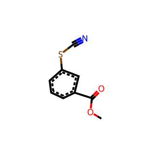 COC(=O)c1cccc(SC#N)c1